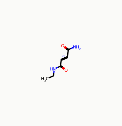 CCNC(=O)/C=C/C(N)=O